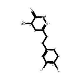 O=C1NN=C(CCC2=CC(F)=C(F)CC2)CC1O